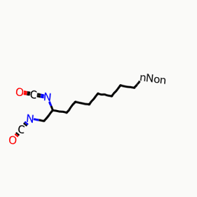 CCCCCCCCCCCCCCCCC(CN=C=O)N=C=O